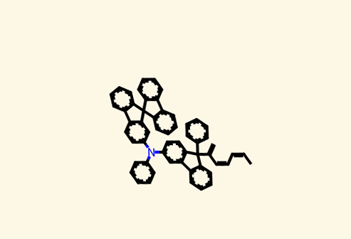 C=C(/C=C\C=C/C)C1(c2ccccc2)c2ccccc2-c2cc(N(c3ccccc3)c3ccc4c(c3)C3(c5ccccc5-c5ccccc53)c3ccccc3-4)ccc21